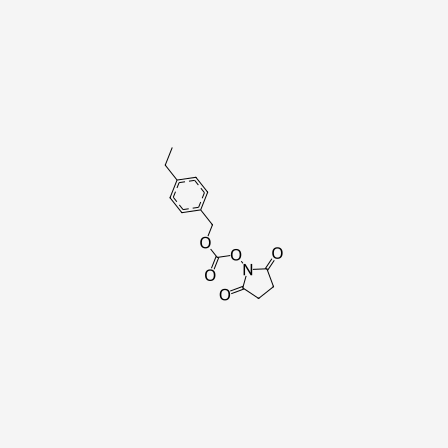 CCc1ccc(COC(=O)ON2C(=O)CCC2=O)cc1